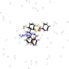 NN/N=C(\N)c1c(Br)ccc(SCc2ccccc2)c1[S+]([O-])N(Cc1ccccc1)Cc1ccccc1